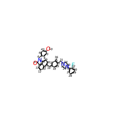 COc1ccc(CN2C(=O)c3cccc4c(Cc5ccc(CN6CCN(c7ccccc7F)CC6)c(C)c5)ccc2c34)cc1